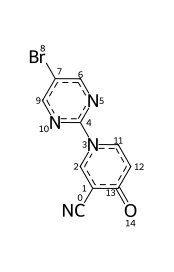 N#Cc1cn(-c2ncc(Br)cn2)ccc1=O